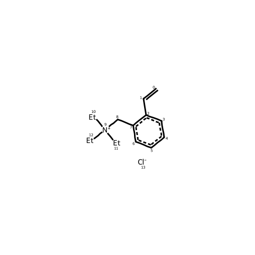 C=Cc1ccccc1C[N+](CC)(CC)CC.[Cl-]